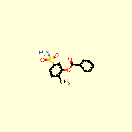 Cc1ccc(S(N)(=O)=O)cc1OC(=O)c1ccccc1